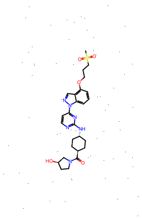 CS(=O)(=O)CCCOc1cccc2c1cnn2-c1ccnc(N[C@H]2CC[C@H](C(=O)N3CC[C@@H](O)C3)CC2)n1